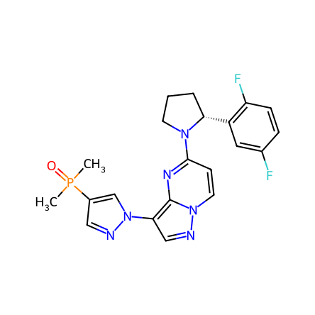 CP(C)(=O)c1cnn(-c2cnn3ccc(N4CCC[C@@H]4c4cc(F)ccc4F)nc23)c1